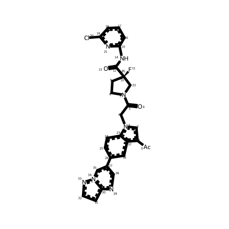 CC(=O)c1cn(CC(=O)N2CC[C@](F)(C(=O)Nc3cccc(Cl)n3)C2)c2ccc(-c3cnc4ccnn4c3)cc12